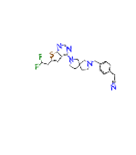 N#CCc1ccc(CN2CCC3(CCN(c4ncnc5sc(CC(F)F)cc45)C3)C2)cc1